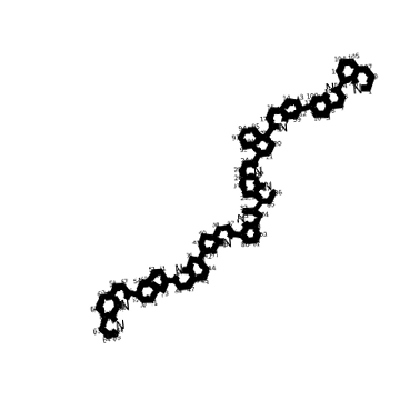 c1cnc2c(-c3ccc4ccc(-c5ccc6ccc(-c7ccc(-c8ccc9ccc%10c(-c%11cnc%12c(-c%13ccc%14ccc(-c%15ccc%16ccc(-c%17ccc%18cc(-c%19ccc%20ccc%21cccnc%21c%20n%19)ccc%18c%17)nc%16c%15)cc%14n%13)cccc%12c%11)ccnc%10c9n8)c8ccccc78)nc6c5)cc4n3)cccc2c1